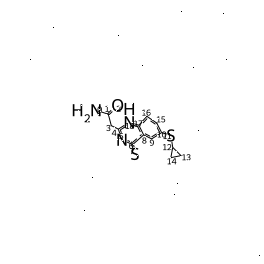 NC(=O)Cc1nc(=S)c2cc(SC3CC3)ccc2[nH]1